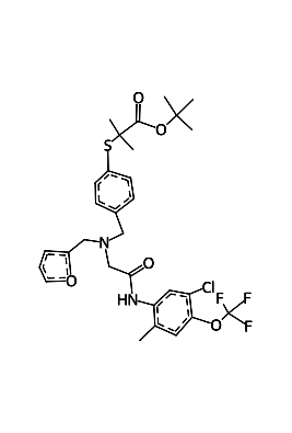 Cc1cc(OC(F)(F)F)c(Cl)cc1NC(=O)CN(Cc1ccc(SC(C)(C)C(=O)OC(C)(C)C)cc1)Cc1ccco1